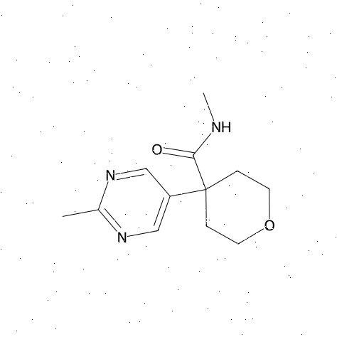 CNC(=O)C1(c2cnc(C)nc2)CCOCC1